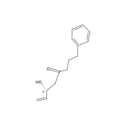 C=C[C@H](O)CC(=O)CCCc1ccccc1